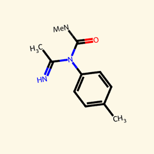 CNC(=O)N(C(C)=N)c1ccc(C)cc1